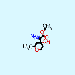 CCOC(=O)C(=[N+]=[N-])C1(O)CCOC(C)C1